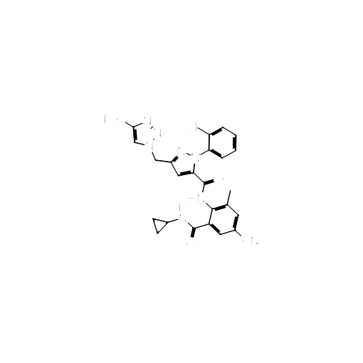 Cc1cc(C#N)cc(C(=O)NC2CC2)c1NC(=O)c1cc(Cn2cc(C(F)(F)F)nn2)nn1-c1ccccc1Cl